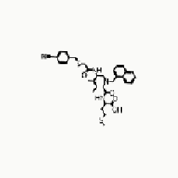 CCC(C)C(CN(CC(=O)NC(CCSC)C(=O)O)Cc1cccc2ccccc12)NC(=O)CSCc1ccc(C#N)cc1